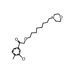 Cc1ccc(C(=O)COCCCCCCCCN2CCOCC2)cc1Cl